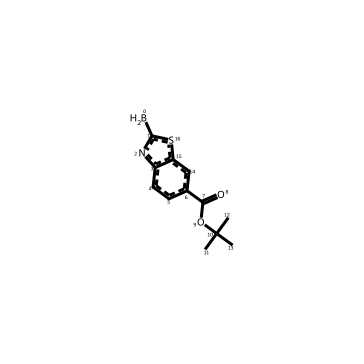 Bc1nc2ccc(C(=O)OC(C)(C)C)cc2s1